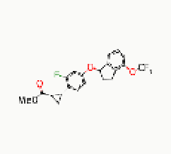 COC(=O)[C@@H]1C[C@H]1c1ccc(O[C@@H]2CCc3c(OC(F)(F)F)cccc32)cc1F